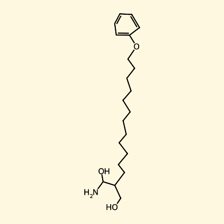 NC(O)C(CO)CCCCCCCCCCCCOc1ccccc1